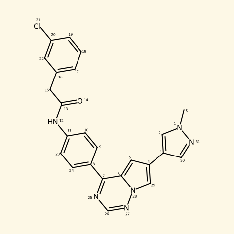 Cn1cc(-c2cc3c(-c4ccc(NC(=O)Cc5cccc(Cl)c5)cc4)ncnn3c2)cn1